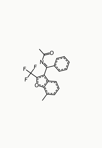 CC(=O)N=C(c1ccccc1)c1c(C(F)(F)F)oc2c(C)cccc12